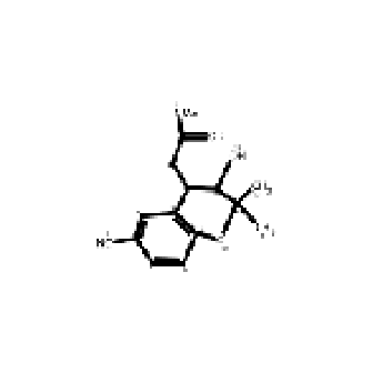 CNC(=O)CC1c2cc(C#N)ccc2OC(C)(C)C1O